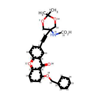 CC1(C)OCC(C#Cc2ccc3oc4cccc(OCc5ccccc5)c4c(=O)c3c2)(NC(=O)O)CO1